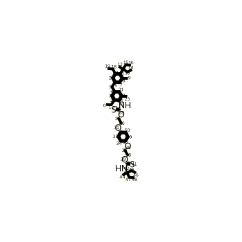 CCc1cc(Cc2cc(C)c(C(C)(CC)CC)c(CC)c2)cc(C)c1NC(=S)OCCOc1ccc(OCCOC(=S)NC(C)(CC)CC)cc1